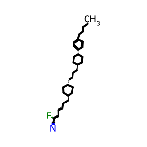 CCCCCc1ccc([C@H]2CC[C@H](CCCC[C@H]3CC[C@H](CC/C=C/C=C(\F)C#N)CC3)CC2)cc1